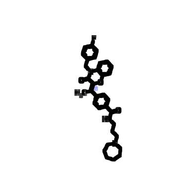 C/C(=C1/Oc2ccccc2N(Cc2ccc(F)cc2)C1=O)c1ccc(C(=O)NCCCN2CCCCCC2)cc1